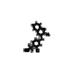 [2H]c1nc2ccncc2cc1Cc1ccc(C(C)(C)O)c(Cl)c1